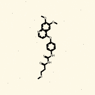 COc1cc2nccc(Oc3ccc(NC(=S)NC(=O)CCSC)cc3)c2cc1OC